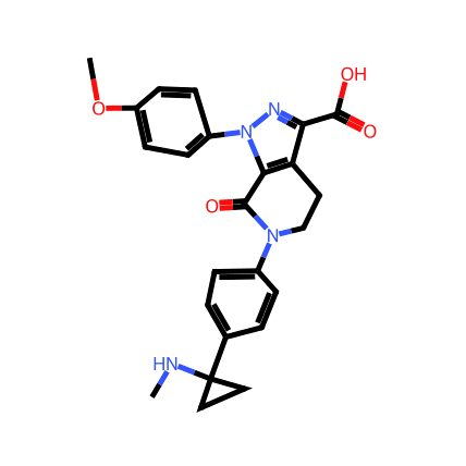 CNC1(c2ccc(N3CCc4c(C(=O)O)nn(-c5ccc(OC)cc5)c4C3=O)cc2)CC1